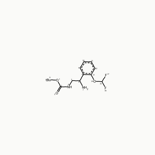 CC(C)(C)OC(=O)NCC(N)c1ccccc1OC(F)F